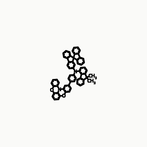 CC1(C)c2ccccc2-c2c(N(c3ccc(-c4ccc5c(c4)N4c6ccccc6Oc6cccc(c64)O5)cc3)c3ccc4c(c3)C3(c5ccccc5-c5ccccc53)c3ccccc3-4)cccc21